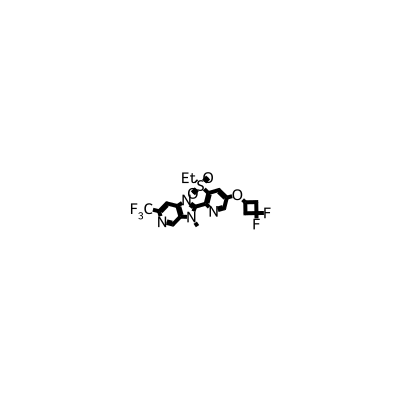 CCS(=O)(=O)c1cc(OC2CC(F)(F)C2)cnc1-c1nc2cc(C(F)(F)F)ncc2n1C